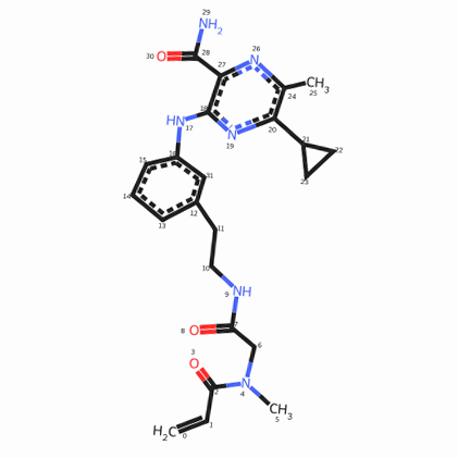 C=CC(=O)N(C)CC(=O)NCCc1cccc(Nc2nc(C3CC3)c(C)nc2C(N)=O)c1